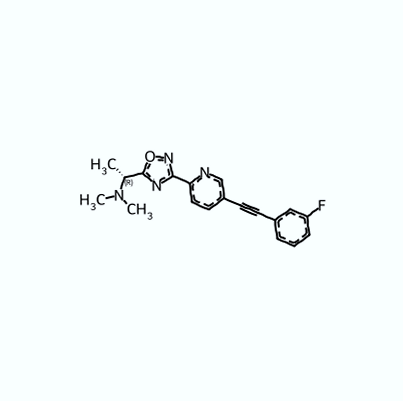 C[C@H](c1nc(-c2ccc(C#Cc3cccc(F)c3)cn2)no1)N(C)C